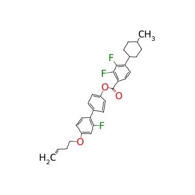 C=CCCOc1ccc(-c2ccc(OC(=O)c3ccc(C4CCC(C)CC4)c(F)c3F)cc2)c(F)c1